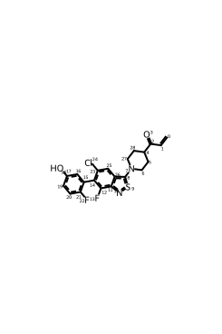 C=CC(=O)C1CCN(c2snc3c(F)c(-c4cc(O)ccc4F)c(Cl)cc23)CC1